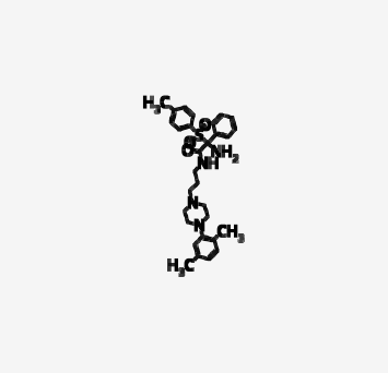 Cc1ccc(S(=O)(=O)C(N)(C(=O)NCCCN2CCN(c3cc(C)ccc3C)CC2)c2ccccc2)cc1